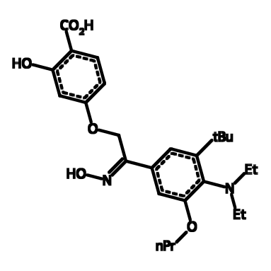 CCCOc1cc(C(COc2ccc(C(=O)O)c(O)c2)=NO)cc(C(C)(C)C)c1N(CC)CC